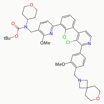 COc1cc(-c2nccc(-c3cccc(-c4ccc(CN(C(=O)OC(C)(C)C)C5CCOCC5)c(OC)n4)c3Cl)c2Cl)ccc1CN1CC2(CCOCC2)C1